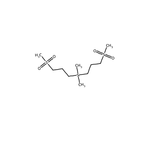 C[Si](C)(CCCS(C)(=O)=O)CCCS(C)(=O)=O